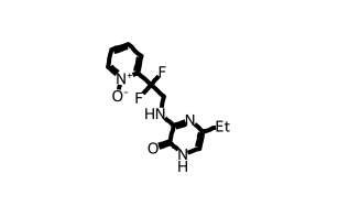 CCc1c[nH]c(=O)c(NCC(F)(F)c2cccc[n+]2[O-])n1